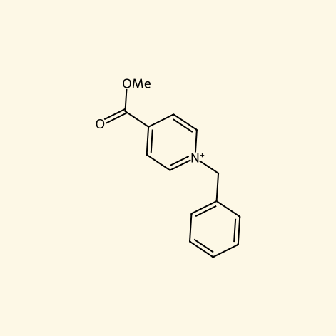 COC(=O)c1cc[n+](Cc2ccccc2)cc1